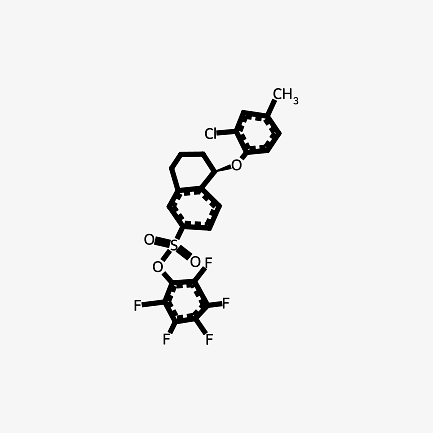 Cc1ccc(O[C@@H]2CCCc3cc(S(=O)(=O)Oc4c(F)c(F)c(F)c(F)c4F)ccc32)c(Cl)c1